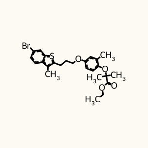 CCOC(=O)C(C)(C)Oc1ccc(OCCCc2sc3cc(Br)ccc3c2C)cc1C